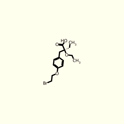 CCO[C@@](CC)(Cc1ccc(OCCBr)cc1)C(=O)O